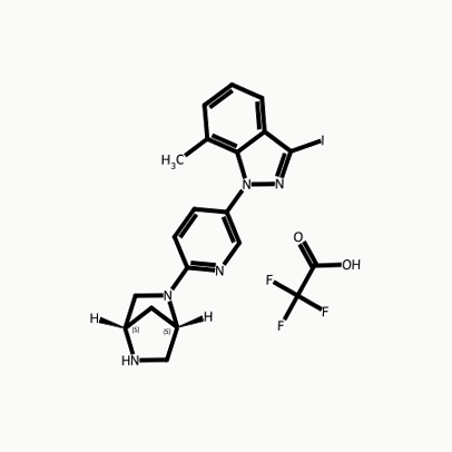 Cc1cccc2c(I)nn(-c3ccc(N4C[C@@H]5C[C@H]4CN5)nc3)c12.O=C(O)C(F)(F)F